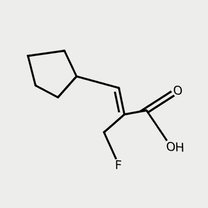 O=C(O)C(=CC1CCCC1)CF